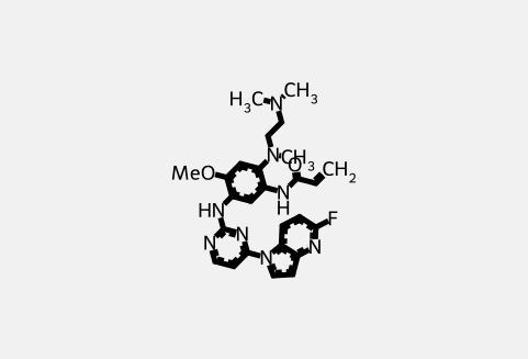 C=CC(=O)Nc1cc(Nc2nccc(-n3ccc4nc(F)ccc43)n2)c(OC)cc1N(C)CCN(C)C